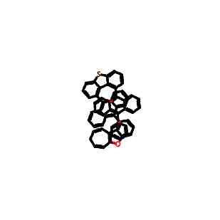 C1=Cc2oc3cccc(-c4c5ccccc5c(-c5cccc6sc7cccc(-c8c9c(c(-c%10ccccc%10)c%10ccccc8%10)CCC=C9)c7c56)c5ccccc45)c3c2C=CC1